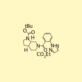 CCOC(=O)[C@@H]1C[C@H]2CCN(C(=O)OC(C)(C)C)[C@H]2CN1C(=O)c1ccccc1-n1nccn1